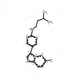 CC(C)CCNc1ncc(-c2cnc3ccc(Cl)nn23)cn1